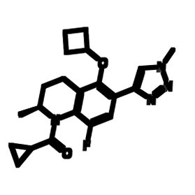 C[C@H]1CCc2c(OC3CCC3)c(-c3cn(C)nn3)cc(F)c2N1C(=O)C1CC1